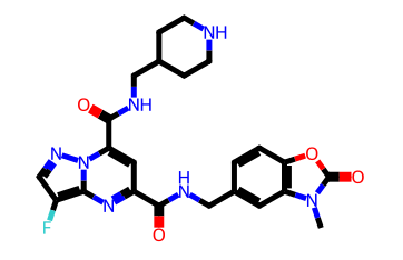 Cn1c(=O)oc2ccc(CNC(=O)c3cc(C(=O)NCC4CCNCC4)n4ncc(F)c4n3)cc21